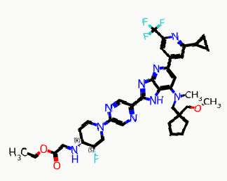 CCOC(=O)CN[C@@H]1CCN(c2cnc(-c3nc4nc(-c5cc(C6CC6)nc(C(F)(F)F)c5)cc(N(C)CC5(COC)CCCC5)c4[nH]3)cn2)C[C@@H]1F